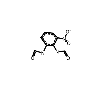 O=C[N]c1cccc([N+](=O)[O-])c1[N]C=O